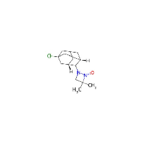 CC1(C)CN(C2[C@H]3CC4C[C@H]2CC(Cl)(C4)C3)[N+]1=O